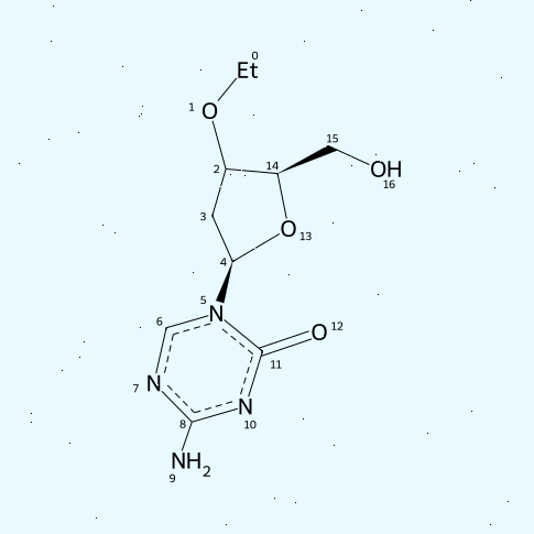 CCOC1C[C@H](n2cnc(N)nc2=O)O[C@@H]1CO